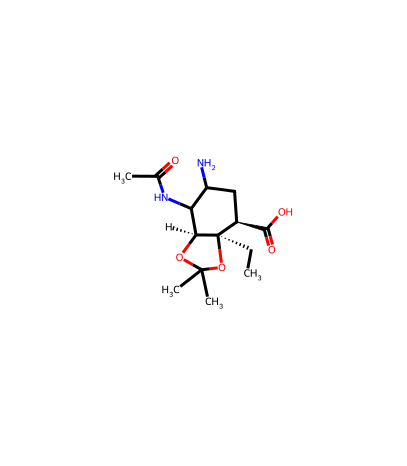 CC[C@]12OC(C)(C)O[C@H]1C(NC(C)=O)C(N)C[C@H]2C(=O)O